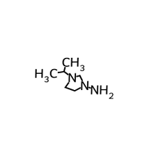 CC(C)N1CCN(N)C1